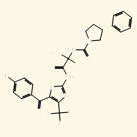 CC(C)(NC(=O)N1CC[C@H](c2ccccc2)C1)C(=O)Nc1nc(C(F)(F)F)c(C(=O)c2ccc(F)cc2)s1